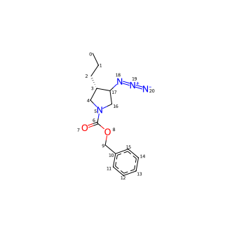 CCC[C@H]1CN(C(=O)OCc2ccccc2)CC1N=[N+]=[N-]